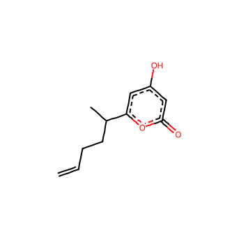 C=CCCC(C)c1cc(O)cc(=O)o1